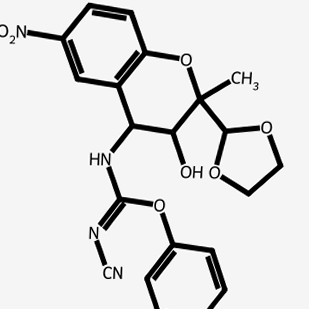 CC1(C2OCCO2)Oc2ccc([N+](=O)[O-])cc2C(NC(=NC#N)Oc2ccccc2)C1O